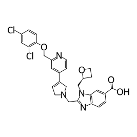 O=C(O)c1ccc2nc(CN3CC=C(c4ccnc(COc5ccc(Cl)cc5Cl)c4)C3)n(C[C@@H]3CCO3)c2c1